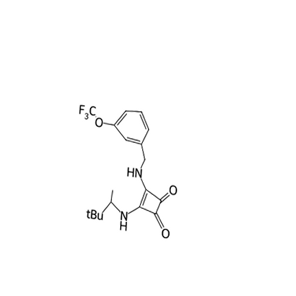 CC(Nc1c(NCc2cccc(OC(F)(F)F)c2)c(=O)c1=O)C(C)(C)C